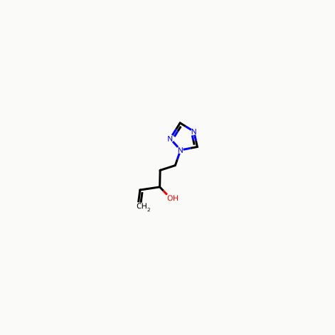 C=CC(O)CCn1cncn1